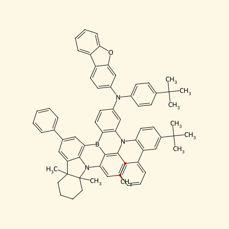 Cc1cc2c3c(c1)N1c4c(cc(-c5ccccc5)cc4C4(C)CCCCC14C)B3c1ccc(N(c3ccc(C(C)(C)C)cc3)c3ccc4c(c3)oc3ccccc34)cc1N2c1ccc(C(C)(C)C)cc1-c1ccccc1